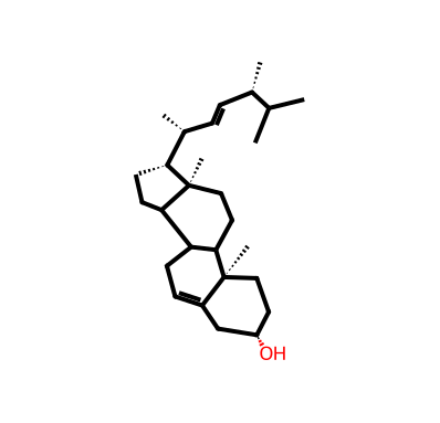 CC(C)[C@@H](C)/C=C/[C@@H](C)[C@H]1CCC2C3CC=C4C[C@@H](O)CC[C@]4(C)C3CC[C@@]21C